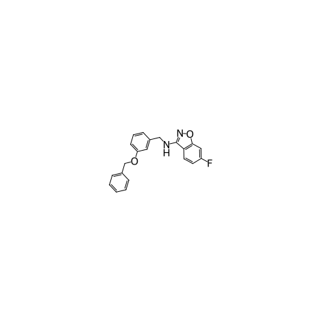 Fc1ccc2c(NCc3cccc(OCc4ccccc4)c3)noc2c1